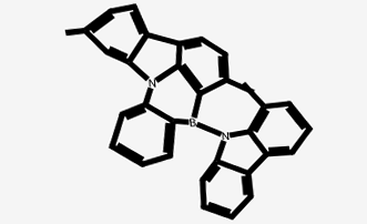 Cc1ccc2c3ccc(C)c4c3n(c2c1)-c1ccccc1B4n1c2ccccc2c2cccc(C)c21